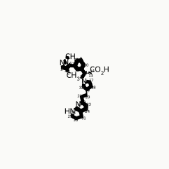 Cc1cnn(C)c1-c1cccc([C@H](CC(=O)O)CN2CC[C@@H](CCc3ccc4c(n3)NCCC4)C2)c1